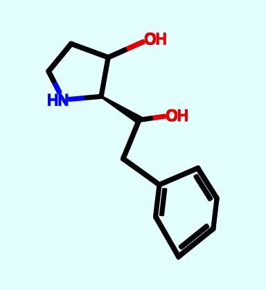 OC1CCN[C@@H]1C(O)Cc1ccccc1